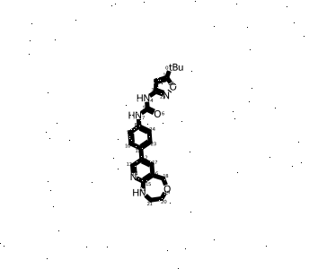 CC(C)(C)c1cc(NC(=O)Nc2ccc(-c3cnc4c(c3)COCCN4)cc2)no1